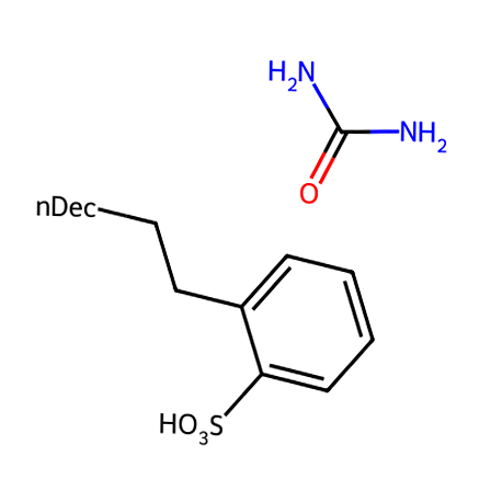 CCCCCCCCCCCCc1ccccc1S(=O)(=O)O.NC(N)=O